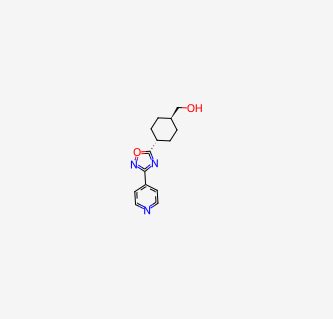 OC[C@H]1CC[C@H](c2nc(-c3ccncc3)no2)CC1